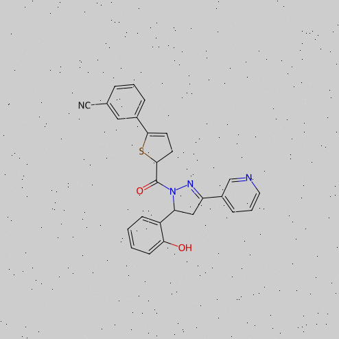 N#Cc1cccc(C2=CCC(C(=O)N3N=C(c4cccnc4)CC3c3ccccc3O)S2)c1